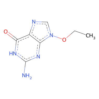 CCOn1cnc2c(=O)[nH]c(N)nc21